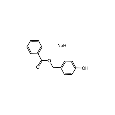 O=C(OCc1ccc(O)cc1)c1ccccc1.[NaH]